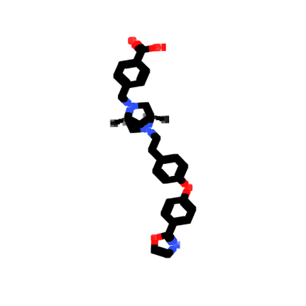 O=C(O)c1ccc(CN2C[C@@H]3C[C@H]2CN3CCc2ccc(Oc3ccc(-c4ncco4)cc3)cc2)cc1